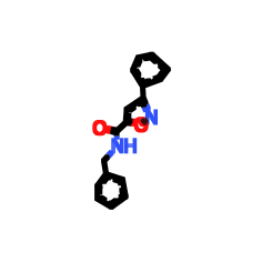 O=C(NCc1ccccc1)c1cc(-c2ccccc2)no1